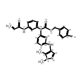 C=CC(=O)Nc1cccc(N(C(=O)OCc2ccc(F)cc2)c2ccnc(Nc3cnn(C)c3C)n2)c1